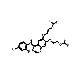 Fc1cc(Cl)ccc1Nc1ncnc2cc(OCCOC(F)F)c(OCCOC(F)F)cc12